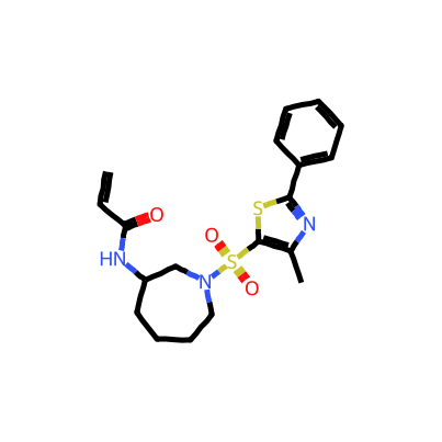 C=CC(=O)NC1CCCCN(S(=O)(=O)c2sc(-c3ccccc3)nc2C)C1